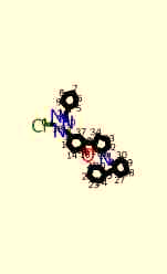 Clc1nc(-c2ccccc2)nc(-c2ccc3oc4c(-n5c6ccccc6c6ccccc65)cccc4c3c2)n1